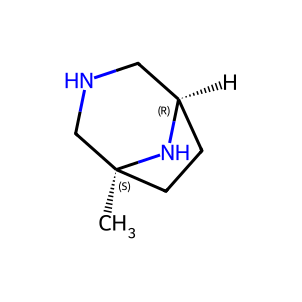 C[C@]12CC[C@H](CNC1)N2